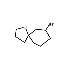 CC(C)C1CCCC2(CCCO2)C1